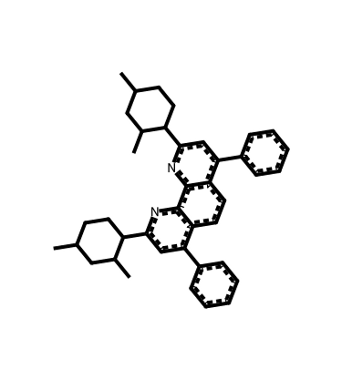 CC1CCC(c2cc(-c3ccccc3)c3ccc4c(-c5ccccc5)cc(C5CCC(C)CC5C)nc4c3n2)C(C)C1